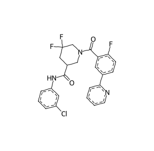 O=C(Nc1cccc(Cl)c1)C1CN(C(=O)c2cc(-c3ccccn3)ccc2F)CC(F)(F)C1